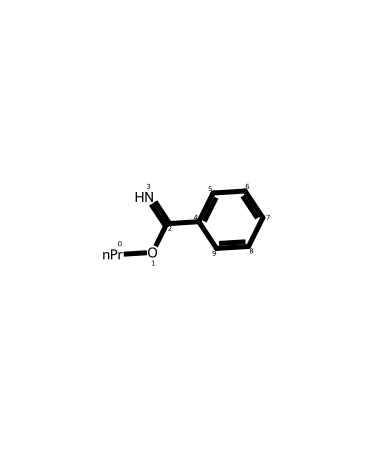 CCCOC(=N)c1ccccc1